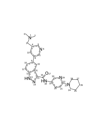 CN(C)Cc1cncc(-c2ccc3[nH]nc(C(=O)Nc4ccc(N5CCCCC5)nc4)c3c2)c1